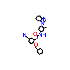 Cc1cc(NC(=O)Cc2cc(C#N)ccc2OCc2ccccc2)ccc1-n1cnc2ccccc21